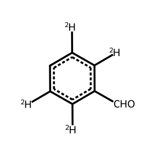 [2H]c1cc([2H])c([2H])c(C=O)c1[2H]